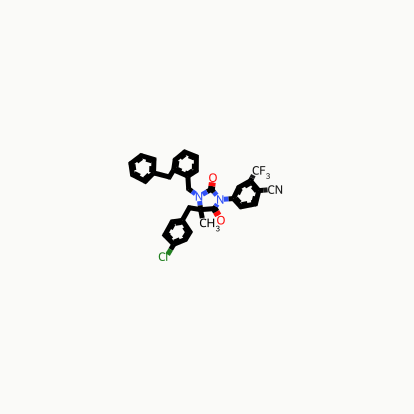 CC1(Cc2ccc(Cl)cc2)C(=O)N(c2ccc(C#N)c(C(F)(F)F)c2)C(=O)N1Cc1ccccc1Cc1ccccc1